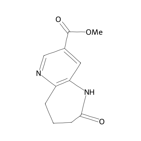 COC(=O)c1cnc2c(c1)NC(=O)CCC2